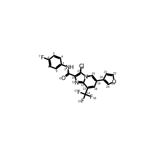 O=C(Nc1ccc(F)cc1)c1nc2c(C(F)(F)F)cc(-c3ccoc3)cn2c1Cl